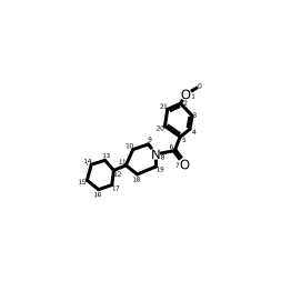 COc1ccc(C(=O)N2CCC(C3C[CH]CCC3)CC2)cc1